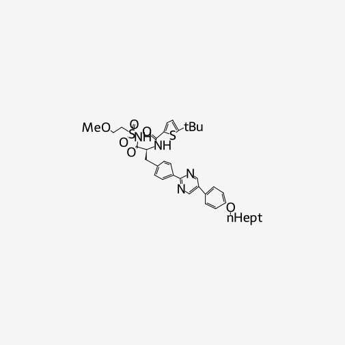 CCCCCCCOc1ccc(-c2cnc(-c3ccc(C[C@H](NC(=O)c4ccc(C(C)(C)C)s4)C(=O)NS(=O)(=O)CCOC)cc3)nc2)cc1